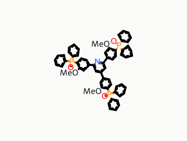 COc1cc(-c2cc(-c3ccc(P(=O)(c4ccccc4)c4ccccc4)c(OC)c3)nc(-c3ccc(P(=O)(c4ccccc4)c4ccccc4)c(OC)c3)c2)ccc1P(=O)(c1ccccc1)c1ccccc1